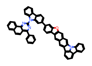 c1ccc(-c2nc(-n3c4ccccc4c4ccc(-c5ccc6c(c5)oc5cc7cc8c(cc7cc56)c5cccc6c7ccccc7n8c65)cc43)nc3c2ccc2ccccc23)cc1